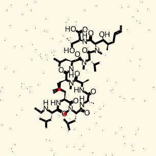 CC=CC[C@@H](C)[C@@H](O)[C@@H](C(=O)N[C@H](C(=O)O)[C@@H](C)O)N(C)C(=O)[C@H](C(C)C)N(C)C(=O)[C@H](CC(C)C)NC(=O)[C@H](CC(C)C)N(C)C(=O)[C@@H](C)NC(=O)[C@H](C)NC(=O)[C@H](CC(C)C)N(C)C(=O)[C@H](CC(C)C)NC(=O)[C@H](CC(C)C)NCC